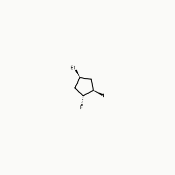 CC[C@@H]1C[C@@H](F)[C@H](I)C1